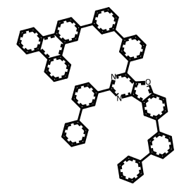 c1ccc(-c2cccc(-c3ccc4oc5c(-c6cccc(-c7cccc(-c8ccc9c%10ccccc%10c%10ccccc%10c9c8)c7)c6)nc(-c6cccc(-c7ccccc7)c6)nc5c4c3)c2)cc1